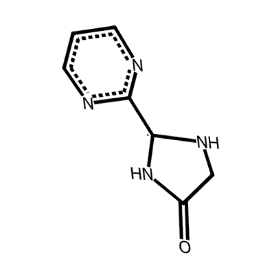 O=C1CN[C](c2ncccn2)N1